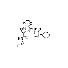 O=C(N[C@@H]1C[C@@H]1F)c1cnn2c3c(c(Nc4cccn(C5CCOCC5)c4=O)nc12)OCCN3